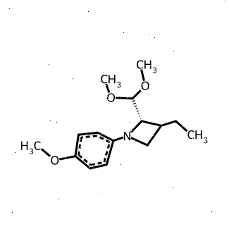 CCC1CN(c2ccc(OC)cc2)[C@@H]1C(OC)OC